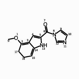 COC1=c2cc(C(=O)n3ccnc3)[nH]c2=CCC1